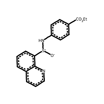 CCOC(=O)c1ccc(N[S+]([O-])c2cccc3cccnc23)cc1